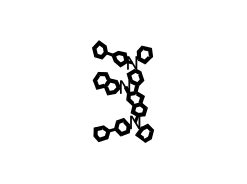 c1ccc(-c2ccc(N(c3ccccc3)c3ccc4cc5c6ccc(N(c7ccccc7)c7ccc(-c8ccccc8)cc7)cc6n(-c6ccc7ccccc7c6)c5cc4c3)cc2)cc1